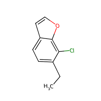 CCc1ccc2ccoc2c1Cl